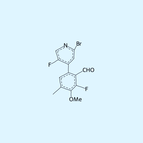 COc1c(C)cc(-c2cc(Br)ncc2F)c(C=O)c1F